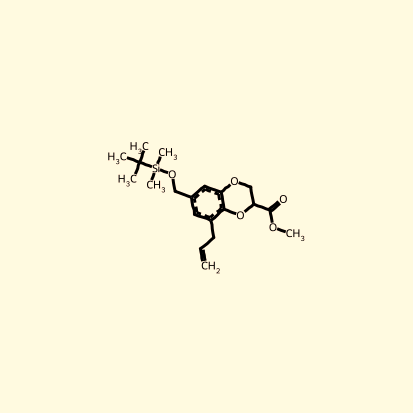 C=CCc1cc(CO[Si](C)(C)C(C)(C)C)cc2c1OC(C(=O)OC)CO2